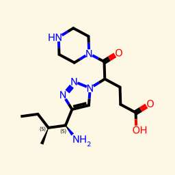 CC[C@H](C)[C@H](N)c1cn(C(CCC(=O)O)C(=O)N2CCNCC2)nn1